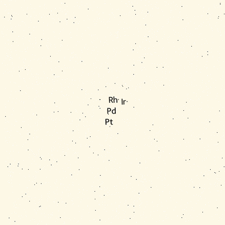 [Ir].[Pd].[Pt].[Rh]